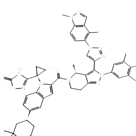 Cc1cc(-n2nc3c(c2-c2cn(-c4ccc5c(cnn5C)c4F)nn2)[C@H](C)N(C(=O)c2cc4cc([C@H]5CCOC(C)(C)C5)ccc4n2[C@@]2(c4noc(=O)[nH]4)C[C@@H]2C)CC3)cc(C)c1F